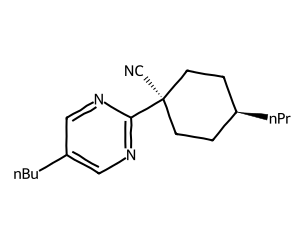 CCCCc1cnc([C@]2(C#N)CC[C@H](CCC)CC2)nc1